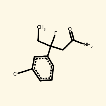 CCC(F)(CC(N)=O)c1cccc(Cl)c1